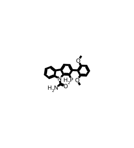 COc1cccc(OC)c1-c1ccc2c3ccccc3n(C(N)=O)c2c1P